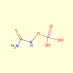 NC(=S)NOP(=O)(O)O